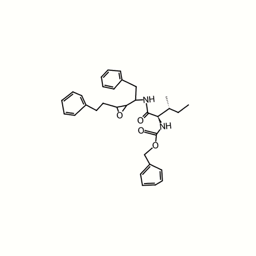 CC[C@@H](C)[C@@H](NC(=O)OCc1ccccc1)C(=O)NC(Cc1ccccc1)C1OC1CCc1ccccc1